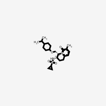 Cc1ccc2n(c1=O)[C@@H](COC1CCC(C(C)C)CC1)[C@@H](NS(=O)(=O)C1CC1)CC2